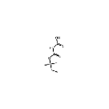 CCC(C)(C)OC(=O)NC(=O)O